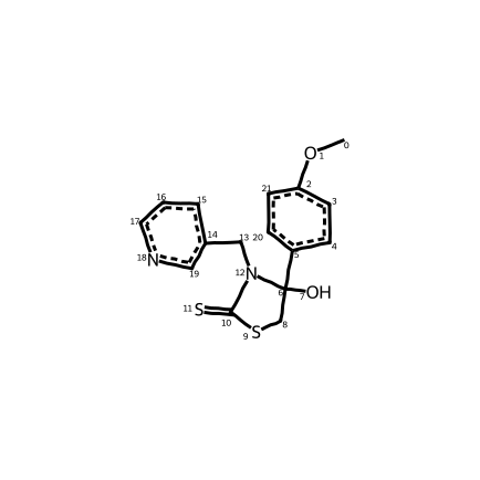 COc1ccc(C2(O)CSC(=S)N2Cc2cccnc2)cc1